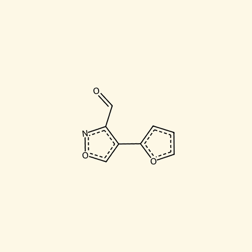 O=Cc1nocc1-c1ccco1